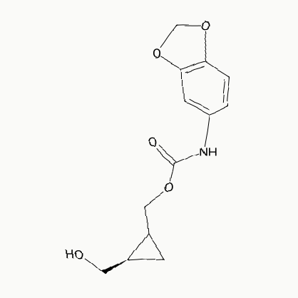 O=C(Nc1ccc2c(c1)OCO2)OCC1C[C@H]1CO